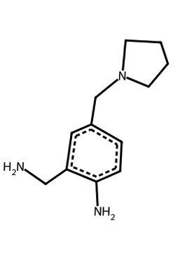 NCc1cc(CN2CCCC2)ccc1N